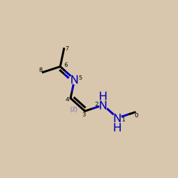 CNN/C=C\N=C(C)C